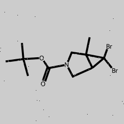 CC(C)(C)OC(=O)N1CC2C(Br)(Br)C2(C)C1